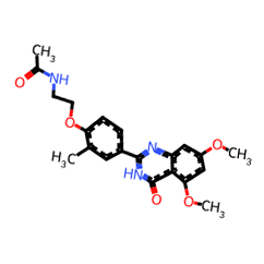 COc1cc(OC)c2c(=O)[nH]c(-c3ccc(OCCNC(C)=O)c(C)c3)nc2c1